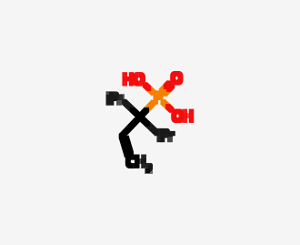 C=CC(C(C)C)(C(C)C)P(=O)(O)O